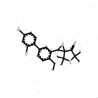 CCc1ccc(-c2ccc(Cl)cc2Cl)cc1C1OC12C(=O)C(C)(C)OC2(C)C